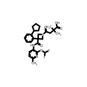 Cc1ccc(NC(=O)C2(c3ccccc3C3CCCC3)CN(C(=O)CC(C)(C)C(=O)O)C2)c(OC(F)F)n1